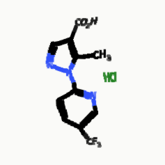 Cc1c(C(=O)O)cnn1-c1ccc(C(F)(F)F)cn1.Cl